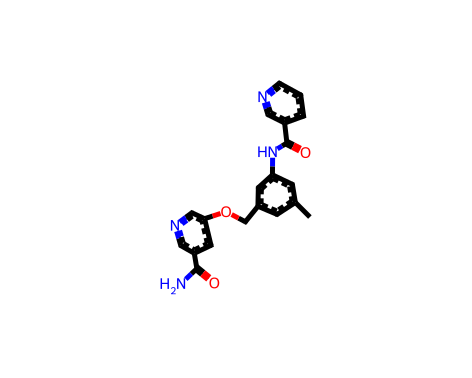 Cc1cc(COc2cncc(C(N)=O)c2)cc(NC(=O)c2cccnc2)c1